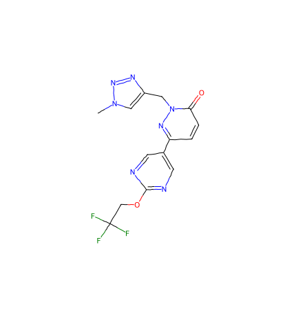 Cn1cc(Cn2nc(-c3cnc(OCC(F)(F)F)nc3)ccc2=O)nn1